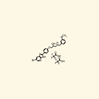 COc1cccc(CNCC(O)COc2ccc(-c3nc4cc(Br)cnc4[nH]3)cc2)c1.O=C(O)C(F)(F)F.O=C(O)C(F)(F)F